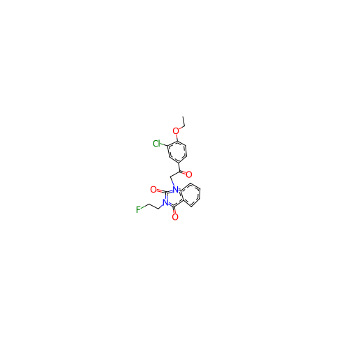 CCOc1ccc(C(=O)Cn2c(=O)n(CCF)c(=O)c3ccccc32)cc1Cl